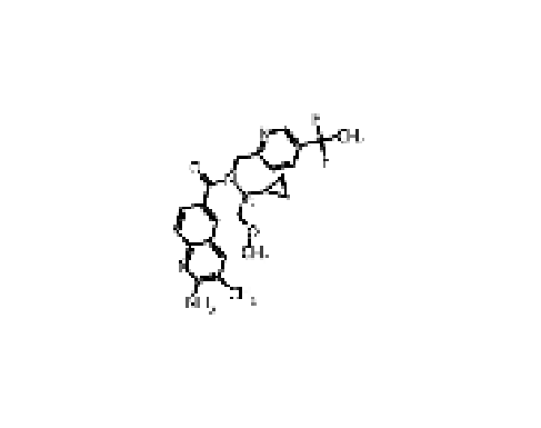 COC[C@H](C1CC1)N(Cc1ccc(C(C)(F)F)cn1)C(=O)c1ccc2nc(N)c(C)cc2c1